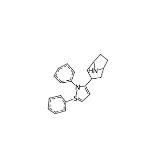 C1=C(C2CC3CCC(C2)N3)N(c2ccccc2)S(c2ccccc2)=C1